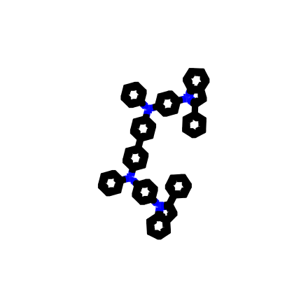 c1ccc(-c2cc3ccccc3n2-c2ccc(N(c3ccccc3)c3ccc(-c4ccc(N(c5ccccc5)c5ccc(-n6c(-c7ccccc7)cc7ccccc76)cc5)cc4)cc3)cc2)cc1